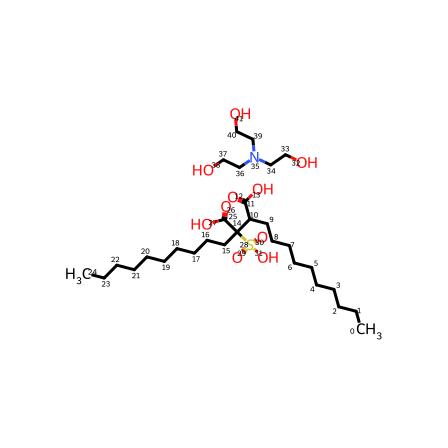 CCCCCCCCCCC(C(=O)O)C(CCCCCCCCCC)(C(=O)O)S(=O)(=O)O.OCCN(CCO)CCO